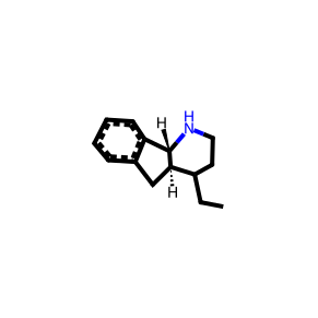 CCC1CCN[C@H]2c3ccccc3C[C@H]12